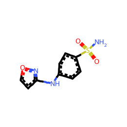 NS(=O)(=O)c1ccc(Nc2ccon2)cc1